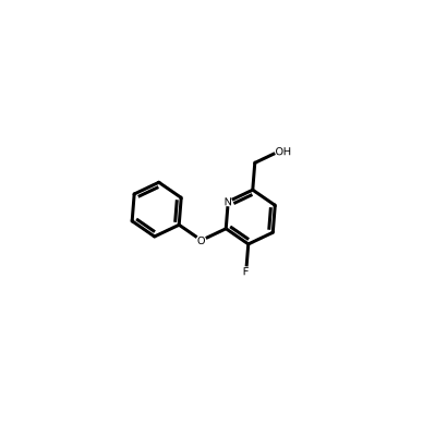 OCc1ccc(F)c(Oc2ccccc2)n1